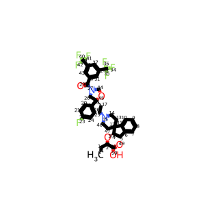 CCC(O[C@H]1Cc2ccccc2C12CCN(CC[C@]1(c3ccc(F)cc3)CN(C(=O)c3cc(C(F)(F)F)cc(C(F)(F)F)c3)CO1)CC2)C(=O)O